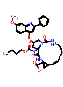 CCCCOC(=O)NC12CC(Oc3cc(-c4ccccc4)nc4cc(OC)ccc34)CN1C(=O)NCCCCC=CC1CC1(C(=O)O)NC2=O